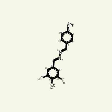 CCCc1ccc(/C=N/N=C/c2cc(F)c(CC)c(F)c2)cc1